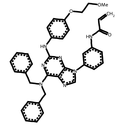 C=CC(=O)Nc1cccc(-n2cnc3c(N(Cc4ccccc4)Cc4ccccc4)nc(Nc4ccc(OCCOC)cc4)nc32)c1